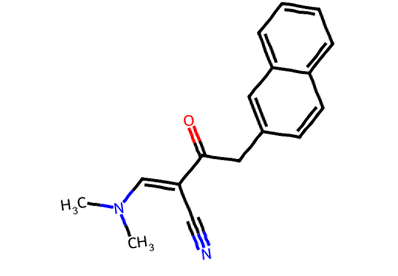 CN(C)/C=C(\C#N)C(=O)Cc1ccc2ccccc2c1